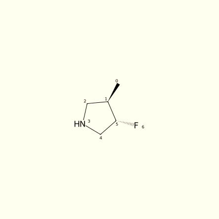 C[C@@H]1CNC[C@H]1F